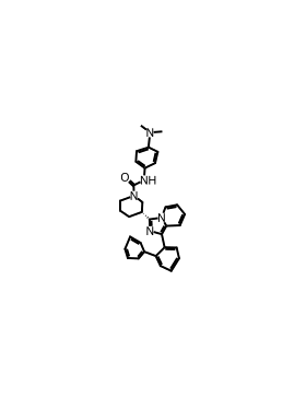 CN(C)c1ccc(NC(=O)N2CCC[C@@H](c3nc(-c4ccccc4-c4ccccc4)c4ccccn34)C2)cc1